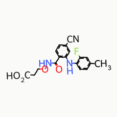 Cc1ccc(Nc2cc(C#N)ccc2C(=O)NOCCC(=O)O)c(F)c1